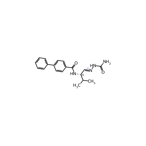 CC(C)[C@@H](/C=N/NC(N)=O)NC(=O)c1ccc(-c2ccccc2)cc1